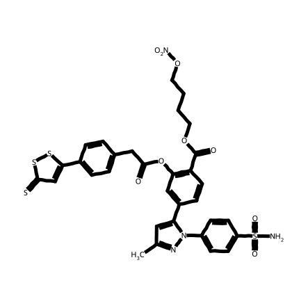 Cc1cc(-c2ccc(C(=O)OCCCCO[N+](=O)[O-])c(OC(=O)Cc3ccc(-c4cc(=S)ss4)cc3)c2)n(-c2ccc(S(N)(=O)=O)cc2)n1